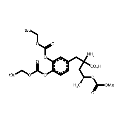 COC(=O)O[C@@H](C)CC(N)(Cc1ccc(OC(=O)OCC(C)(C)C)c(OC(=O)OCC(C)(C)C)c1)C(=O)O